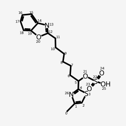 Cc1csc(C(CCCCCCc2nc3ccccc3o2)OS(=O)(=O)O)n1